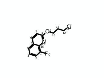 Fc1cccc2ccc(OCCCCl)nc12